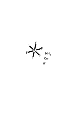 F[P-](F)(F)(F)(F)F.N.[Cu].[H+]